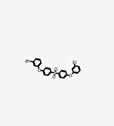 CCc1cccc(Oc2ccc(S(=O)(=O)c3ccc(Oc4cccc(C(C)C)c4)cc3)cc2)c1